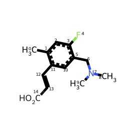 Cc1cc(F)c(CN(C)C)cc1C=CC(=O)O